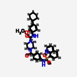 COc1cc(C2CCCCC2)ccc1NC(=O)N1CCN(C(=O)c2ccc(NS(=O)(=O)c3cccc4cccnc34)cc2)CC1